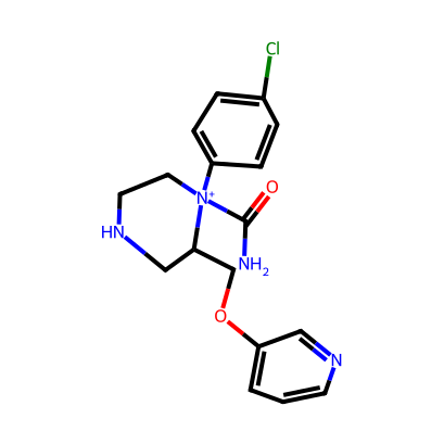 NC(=O)[N+]1(c2ccc(Cl)cc2)CCNCC1COc1cccnc1